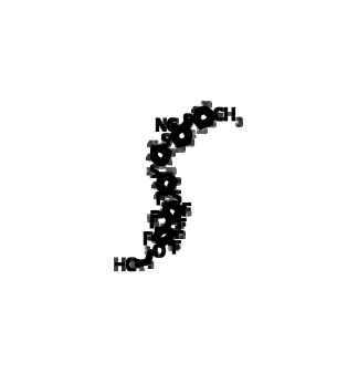 C#CCCOc1c(F)c(F)c(-c2c(F)c(F)c(Sc3ccc(Sc4ccc(Sc5cccc(Sc6ccc(C)cc6)c5C#N)cc4)cc3)c(F)c2F)c(F)c1F